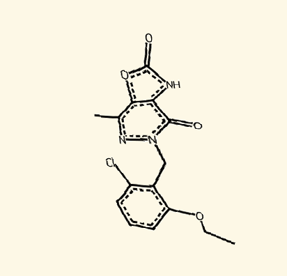 CCOc1cccc(Cl)c1Cn1nc(C)c2oc(=O)[nH]c2c1=O